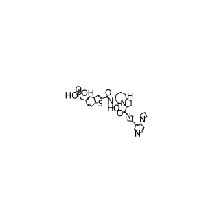 O=C(N[C@H]1CCC[C@H]2CC[C@@H](C(=O)N3CC(c4cnccc4N4CCC4)C3)N2C1=O)c1cc2cc(CP(=O)(O)O)ccc2s1